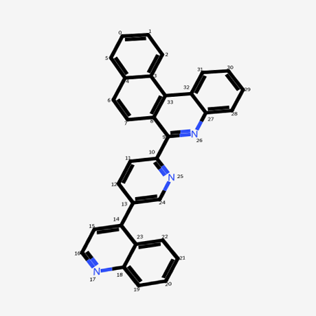 c1ccc2c(c1)ccc1c(-c3ccc(-c4ccnc5ccccc45)cn3)nc3ccccc3c12